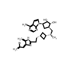 C=C(Br)/C=c1/nc(CC[C@H]2C[C@@H](N(C)C[C@H]3C[C@@H](n4ccc5c(N)ncnc54)[C@H](O)[C@@H]3O)C2)[nH]c1=C